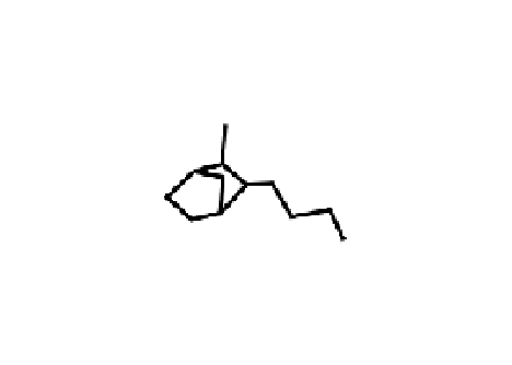 CCCCC1C2CCC(C2)C1C